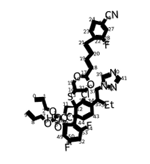 C=CCOP(=O)(OCC=C)OC[C@@]1(SC2COC(C=CC=Cc3ccc(C#N)cc3F)OC2)C(Cl)=C(C(CC)Cn2cncn2)C=C[C@]1(C(=O)O)c1ccc(F)cc1F